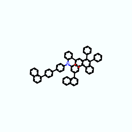 c1ccc(-c2c(-c3ccccc3)c3cc(-c4ccccc4N(c4ccc(-c5ccc(-c6cccc7ccccc67)cc5)cc4)c4cccc(-c5cccc6ccccc56)c4)ccc3c3ccccc23)cc1